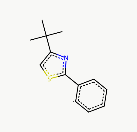 CC(C)(C)c1csc(-c2[c]cccc2)n1